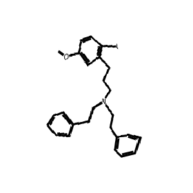 COc1ccc(I)c(CCCN(CCc2ccccc2)CCc2ccccc2)c1